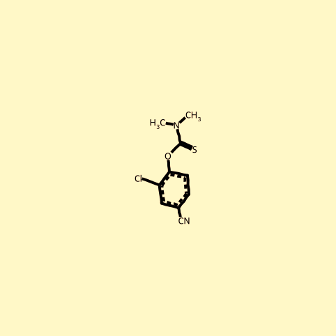 CN(C)C(=S)Oc1ccc(C#N)cc1Cl